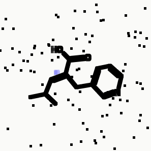 CC(C)/C=C(\Cc1cccnc1)C(=O)O